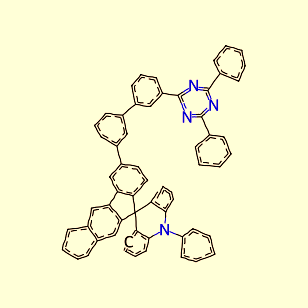 c1ccc(-c2nc(-c3ccccc3)nc(-c3cccc(-c4cccc(-c5ccc6c(c5)-c5cc7ccccc7cc5C65c6ccccc6N(c6ccccc6)c6ccccc65)c4)c3)n2)cc1